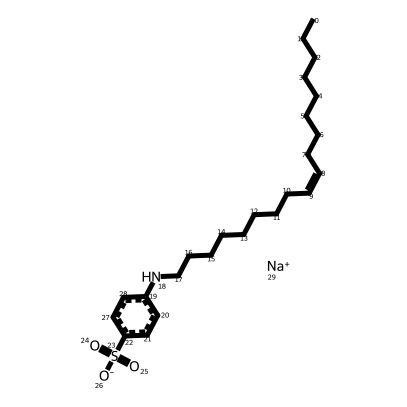 CCCCCCCC/C=C\CCCCCCCCNc1ccc(S(=O)(=O)[O-])cc1.[Na+]